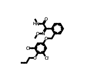 CCCOc1c(Cl)cc(OCc2ccccc2C(=NOC)C(=O)NC)cc1Cl